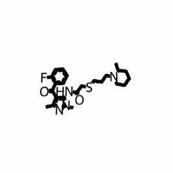 Cc1nn(C)c(NC(=O)CSCCCN2CCCCC2C)c1C(=O)c1ccccc1F